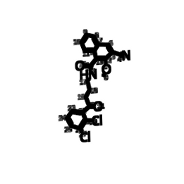 COc1c(C#N)cc2ccccc2c1C(=O)NCCCC(=O)c1cccc(Cl)c1Cl